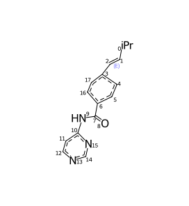 CC(C)/C=C/c1ccc(C(=O)Nc2ccncn2)cc1